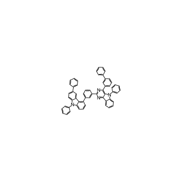 c1ccc(-c2cccc(-c3nc(-c4cccc(-c5cccc6c5c5cc(-c7ccccc7)ccc5n6-c5ccccc5)c4)nc4c5ccccc5n(-c5ccccc5)c34)c2)cc1